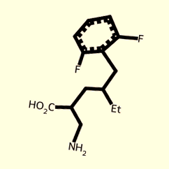 CCC(Cc1c(F)cccc1F)CC(CN)C(=O)O